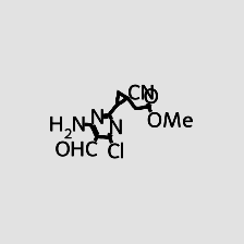 COC(=O)CC1(C#N)CC1c1nc(N)c(C=O)c(Cl)n1